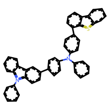 c1ccc(N(c2ccc(-c3ccc4c(c3)c3ccccc3n4-c3ccccc3)cc2)c2ccc(-c3cccc4c3sc3ccccc34)cc2)cc1